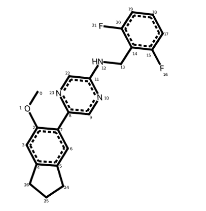 COc1cc2c(cc1-c1cnc(NCc3c(F)cccc3F)cn1)CCC2